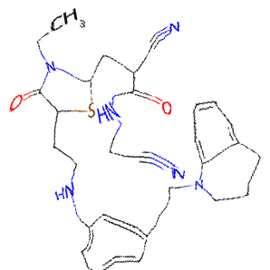 CCN1C(=O)C(CCNc2cccc(CCN3CCCc4ccccc43)c2)SC1CC(C#N)C(=O)NCC#N